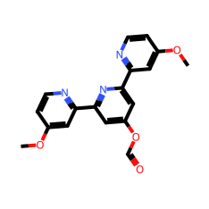 COc1ccnc(-c2cc(OC=O)cc(-c3cc(OC)ccn3)n2)c1